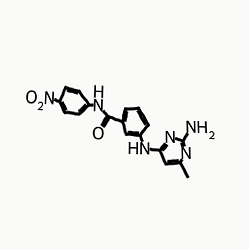 Cc1cc(Nc2cccc(C(=O)Nc3ccc([N+](=O)[O-])cc3)c2)nc(N)n1